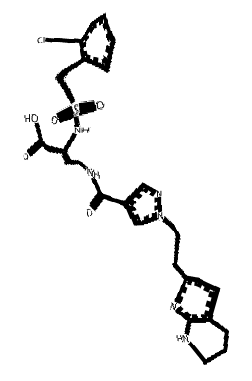 O=C(NCC(NS(=O)(=O)Cc1ccccc1Cl)C(=O)O)c1cnn(CCc2ccc3c(n2)NCCC3)c1